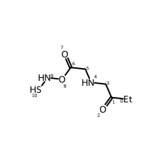 CCC(=O)CNCC(=O)ONS